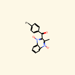 Cc1c(C(=O)c2ccc(C(C)C)cc2)[n+]([O-])c2ccccc2[n+]1[O-]